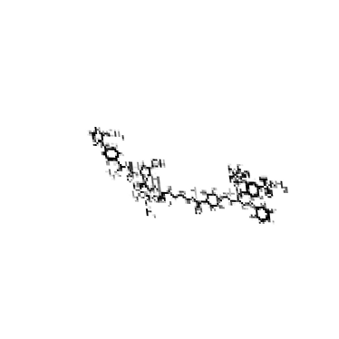 Cc1ncsc1-c1ccc([C@H](C)NC(=O)[C@@H]2C[C@@H](O)CN2C(=O)C(NC(=O)CCCCNC(=O)C2CCN(CCC(CSc3ccccc3)Nc3ccc(S(N)(=O)=O)cc3S(=O)(=O)C(F)(F)F)CC2)C(C)(C)C)cc1